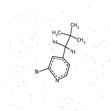 [2H]C([2H])(c1ccnc(Br)c1)C(C)(C)C